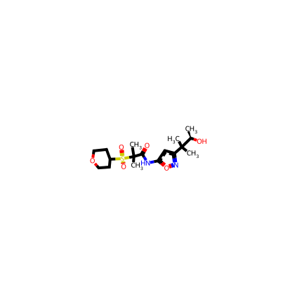 C[C@@H](O)C(C)(C)c1cc(NC(=O)C(C)(C)S(=O)(=O)C2CCOCC2)on1